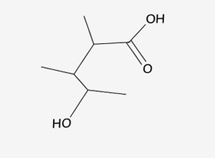 CC(O)C(C)C(C)C(=O)O